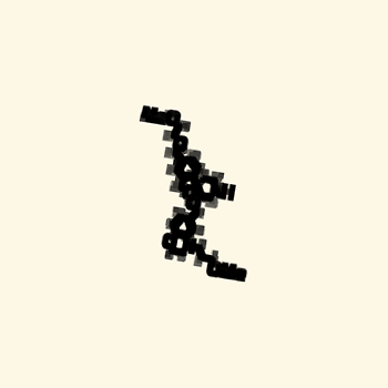 COCCCN1CCOc2ccc(CO[C@H]3CNCC[C@@]34OCc3cc(COCCOC)ccc34)cc21